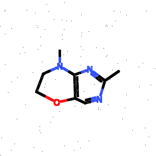 Cc1ncc2c(n1)N(C)CCO2